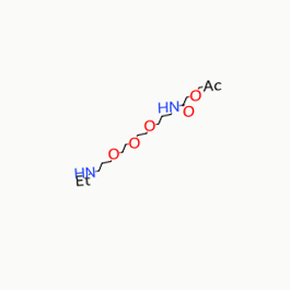 CCNCCCOCCOCCOCCCNC(=O)COCC(C)=O